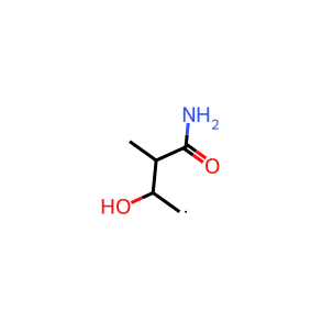 [CH2]C(O)C(C)C(N)=O